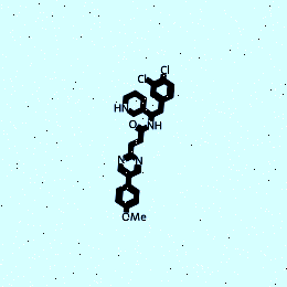 COc1ccc(-c2cnc(CCC(=O)NC(Cc3ccc(Cl)c(Cl)c3)C3CCCNC3)nc2)cc1